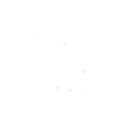 COC(=O)C1CCCCN1c1ccc(N)c(C(F)(F)F)c1